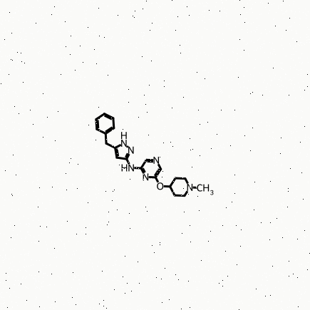 CN1CCC(Oc2cncc(Nc3cc(Cc4ccccc4)[nH]n3)n2)CC1